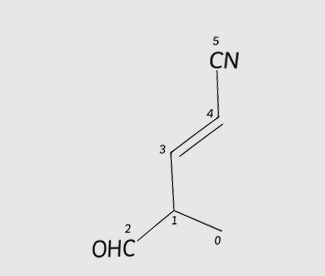 CC(C=O)/C=C/C#N